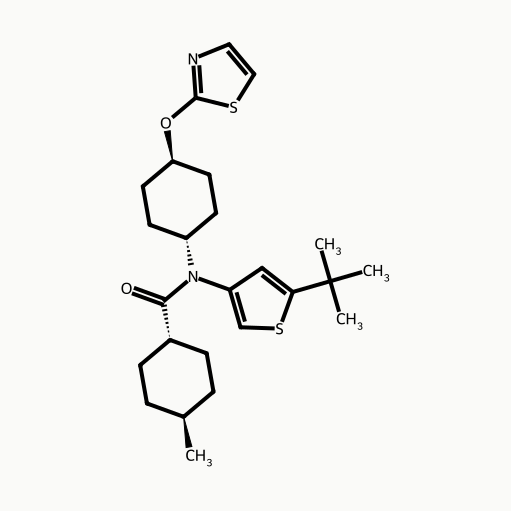 CC(C)(C)c1cc(N(C(=O)[C@H]2CC[C@H](C)CC2)[C@H]2CC[C@H](Oc3nccs3)CC2)cs1